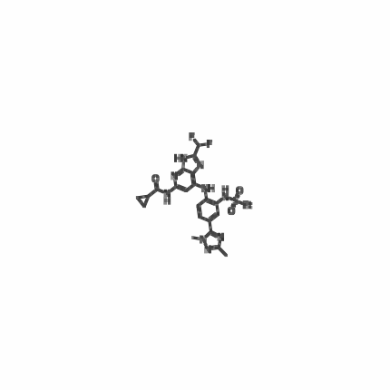 CCS(=O)(=O)Nc1cc(-c2nc(C)nn2C)ccc1Nc1cc(NC(=O)C2CC2)nc2[nH]c(C(F)F)nc12